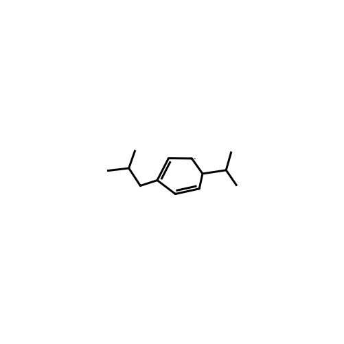 CC(C)CC1=C[CH]C(C(C)C)C=C1